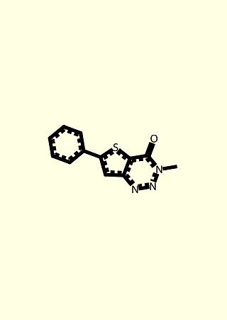 Cn1nnc2cc(-c3ccccc3)sc2c1=O